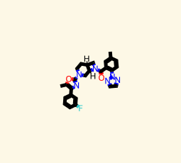 Cc1ccc(-n2nccn2)c(C(=O)N2C[C@@H]3CCN(c4nc(-c5cccc(F)c5)c(C)o4)C[C@@H]32)c1